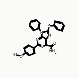 CCOc1ccc(-c2nc(C(N)=O)c3nc(Sc4ccccc4)n(-c4ccccc4)c3n2)cc1